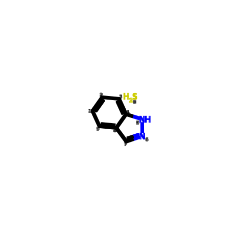 S.c1ccc2[nH]ncc2c1